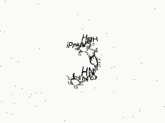 C=C1CC(Cc2ccc(CNC(=O)NCC3CCCCC3)cc2)=CC(=N)NC1(C)CC(C)C